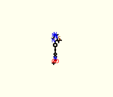 Cc1sc2c(c1C)C(c1ccc(C#CC3CC4(C3)CN(C(=O)OC(C)(C)C)C4)cc1)=N[C@@H](C)c1nnc(C)n1-2